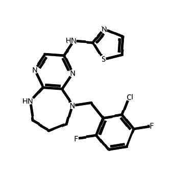 Fc1ccc(F)c(CN2CCCNc3ncc(Nc4nccs4)nc32)c1Cl